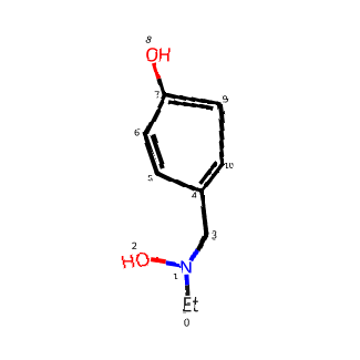 CCN(O)Cc1ccc(O)cc1